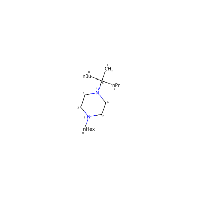 CCCCCCN1CCN(C(C)(CCC)CCCC)CC1